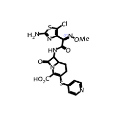 CO/N=C(\C(=O)NC1C(=O)N2C(C(=O)O)=C(Sc3ccncc3)CCC12)c1nc(N)sc1Cl